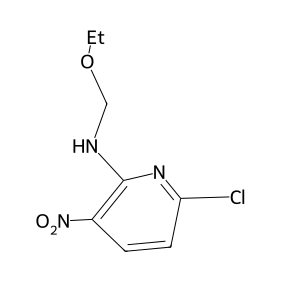 CCOCNc1nc(Cl)ccc1[N+](=O)[O-]